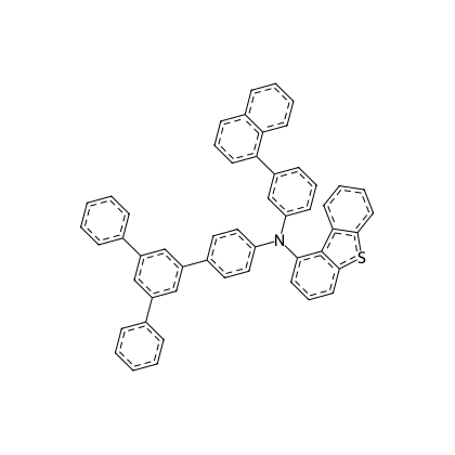 c1ccc(-c2cc(-c3ccccc3)cc(-c3ccc(N(c4cccc(-c5cccc6ccccc56)c4)c4cccc5sc6ccccc6c45)cc3)c2)cc1